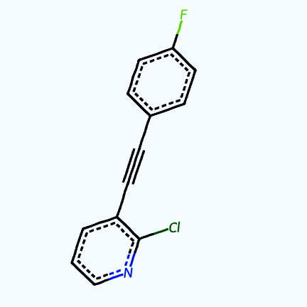 Fc1ccc(C#Cc2cccnc2Cl)cc1